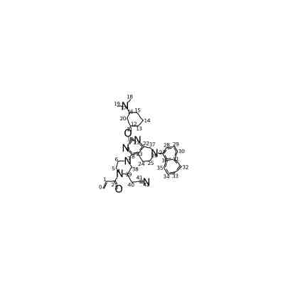 C=CC(=O)N1CCN(c2nc(OC3CCCC(N(C)C)C3)nc3c2CCN(c2cccc4ccccc24)C3)CC1CC#N